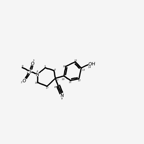 CS(=O)(=O)N1CCC(C#N)(c2ccc(O)cc2)CC1